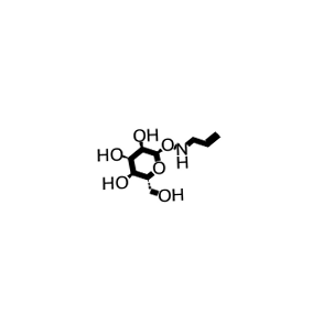 C=CCNO[C@H]1O[C@H](CO)[C@@H](O)[C@H](O)[C@H]1O